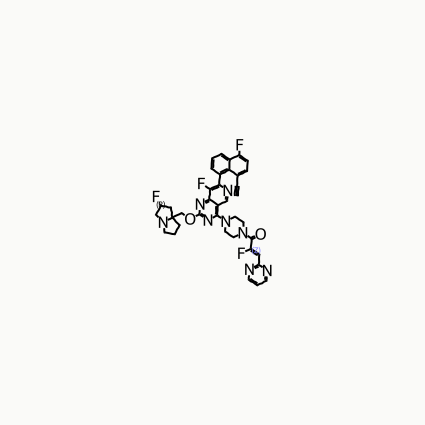 C#Cc1ccc(F)c2cccc(-c3ncc4c(N5CCN(C(=O)/C(F)=C/c6ncccn6)CC5)nc(OCC56CCCN5C[C@H](F)C6)nc4c3F)c12